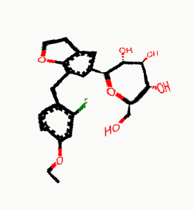 CCOc1ccc(Cc2cc([C@@H]3O[C@H](CO)[C@@H](O)[C@H](O)[C@H]3O)cc3c2OCC3)c(F)c1